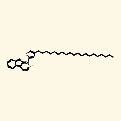 CCCCCCCCCCCCCCCCCCCCc1csc([Si]2=C3C=c4ccccc4=C3CC=[SiH]2)c1